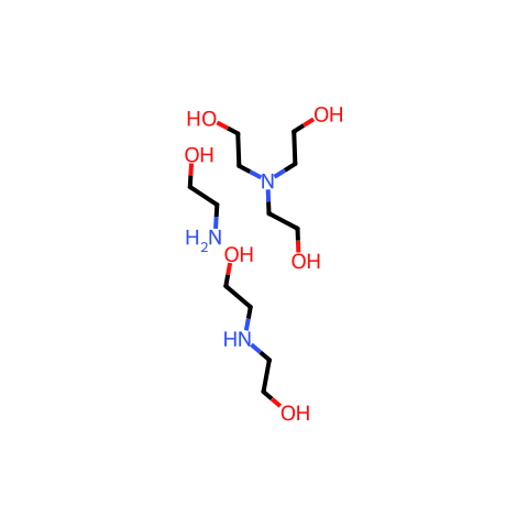 NCCO.OCCN(CCO)CCO.OCCNCCO